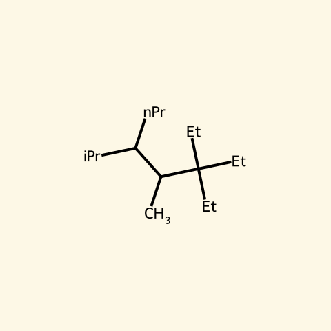 CCCC(C(C)C)C(C)C(CC)(CC)CC